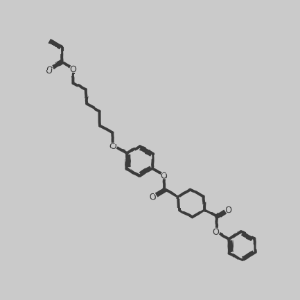 C=CC(=O)OCCCCCCOc1ccc(OC(=O)C2CCC(C(=O)Oc3ccccc3)CC2)cc1